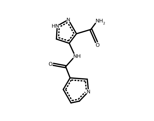 NC(=O)c1n[nH]cc1NC(=O)c1cccnc1